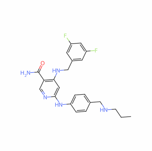 CCCNCc1ccc(Nc2cc(NCc3cc(F)cc(F)c3)c(C(N)=O)cn2)cc1